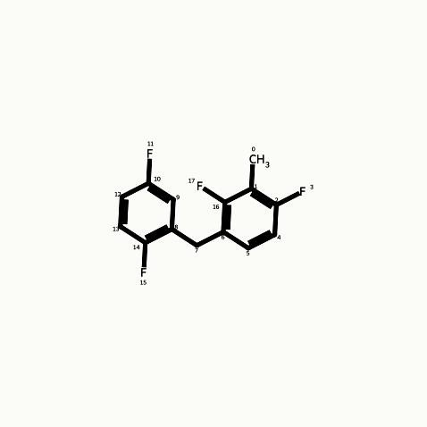 Cc1c(F)ccc(Cc2cc(F)ccc2F)c1F